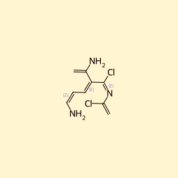 C=C(Cl)\N=C(Cl)/C(=C/C=C\N)C(=C)N